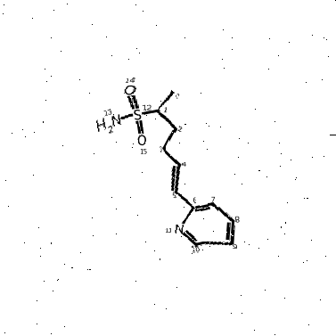 C[C@@H](CCC=Cc1ccccn1)S(N)(=O)=O